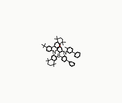 Cc1cc2c3c(c1)N(c1ccc(C(C)(C)C)cc1-c1ccc4c(c1)C(C)(C)CCC4(C)C)c1cc4c(cc1B3c1ccc(-c3ccccc3)cc1N2c1cc(-c2ccccc2)ccc1C)C(C)(C)CCC4(C)C